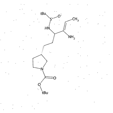 C/C=C(\N)C(CC[C@H]1CCN(C(=O)OC(C)(C)C)C1)N[S+]([O-])C(C)(C)C